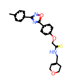 Cc1ccc(-c2noc(-c3ccc(OCC(=S)NCC4=CCOCC4)cc3)n2)cc1